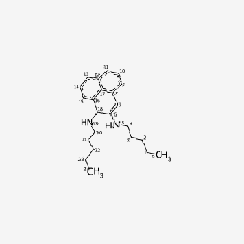 CCCCCNC1=Cc2cccc3cccc(c23)C1NCCCCC